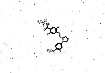 CS(=O)(=O)NC(=O)c1cc(Cl)c(SCC2CCCN2c2ccc(OC(F)(F)F)c(Cl)c2)cc1F